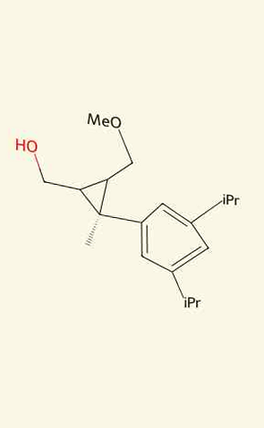 COCC1C(CO)[C@]1(C)c1cc(C(C)C)cc(C(C)C)c1